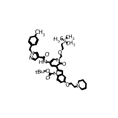 CC1C=CC(Cn2cc(C(=O)Nc3cc(-c4cc5cc(OCCN6CCCCC6)ccc5n4C(=O)OC(C)(C)C)c(=O)n(COCC[Si](C)(C)C)c3)cn2)=CC1